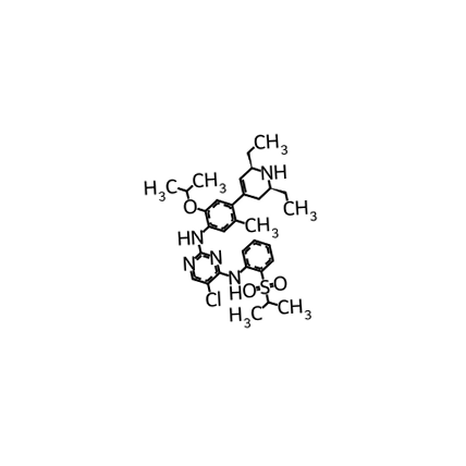 CC[C@H]1CC(c2cc(OC(C)C)c(Nc3ncc(Cl)c(Nc4ccccc4S(=O)(=O)C(C)C)n3)cc2C)=C[C@@H](CC)N1